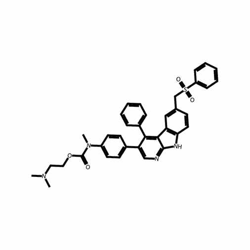 CN(C)CCOC(=O)N(C)c1ccc(-c2cnc3[nH]c4ccc(CS(=O)(=O)c5ccccc5)cc4c3c2-c2ccccc2)cc1